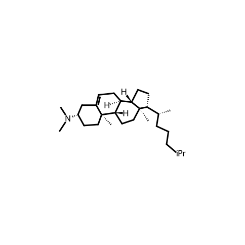 CC(C)CCC[C@@H](C)[C@H]1CC[C@H]2[C@@H]3CC=C4C[C@@H](N(C)C)CC[C@]4(C)[C@H]3CC[C@]12C